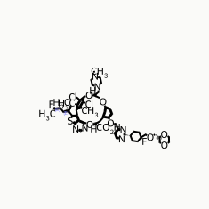 C=C/C(=C\C=C(/C)F)c1sc2ncnc3c2c1-c1c(C)c(Cl)c(c(Cl)c1C)O[C@H](CN1CCN(C)CC1)COc1ccc(OCc2ccnc([C@H]4CC[C@](F)(COC[C@H]5COCCO5)CC4)n2)c(c1)C[C@H](C(=O)O)O3